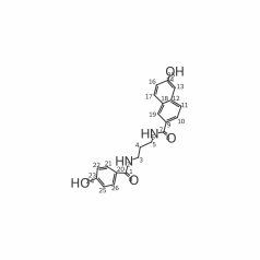 O=C(NCCCNC(=O)c1ccc2cc(O)ccc2c1)c1ccc(O)cc1